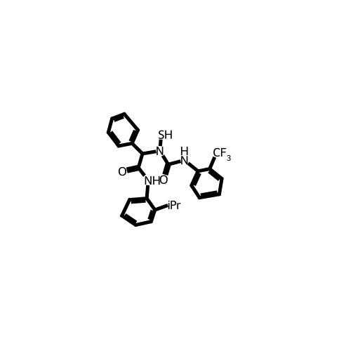 CC(C)c1ccccc1NC(=O)C(c1ccccc1)N(S)C(=O)Nc1ccccc1C(F)(F)F